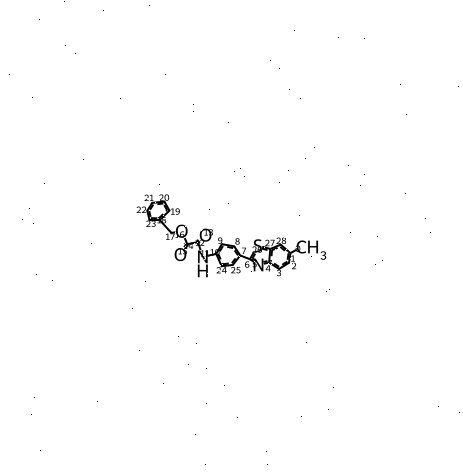 Cc1ccc2nc(-c3ccc(NC(=O)C(=O)OCc4ccccc4)cc3)sc2c1